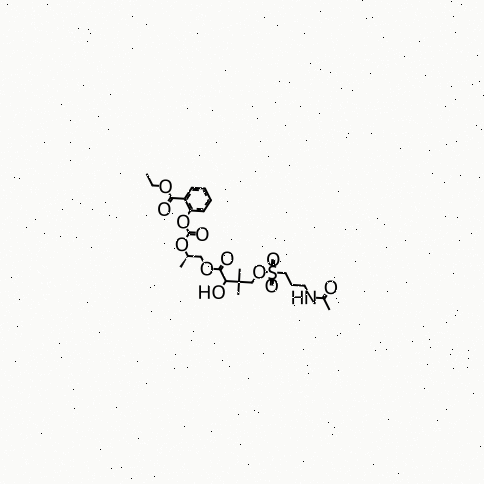 CCOC(=O)c1ccccc1OC(=O)O[C@H](C)COC(=O)C(O)C(C)(C)COS(=O)(=O)CCCNC(C)=O